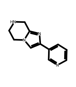 c1cncc(-c2cn3c(n2)CNCC3)c1